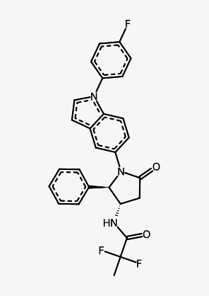 CC(F)(F)C(=O)N[C@H]1CC(=O)N(c2ccc3c(ccn3-c3ccc(F)cc3)c2)[C@@H]1c1ccccc1